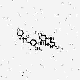 Cc1cc(Nc2cc(C)nc(Nc3ccc(NC(=O)NC4CCOCC4)cc3C)n2)[nH]n1